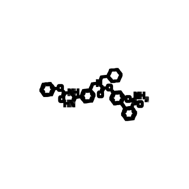 N=C(NC(=O)Oc1ccccc1)c1cccc(CN(CC2CCCCC2)C(=O)Oc2ccc(-c3ccccc3S(N)(=O)=O)cc2)c1